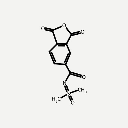 CS(C)(=O)=NC(=O)c1ccc2c(c1)C(=O)OC2=O